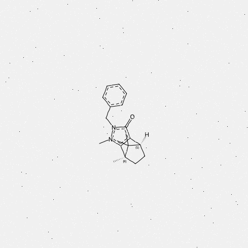 Cn1c2c(c(=O)n1Cc1ccccc1)[C@H]1CC[C@]2(C)C1(C)C